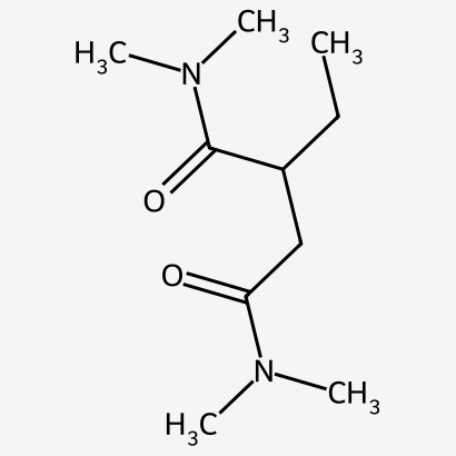 CCC(CC(=O)N(C)C)C(=O)N(C)C